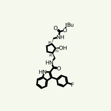 CC(C)(C)OC(=O)NC[C@H]1CC[C@H](CNC(=O)c2[nH]c3ccccc3c2-c2ccc(F)cc2)[C@@H]1O